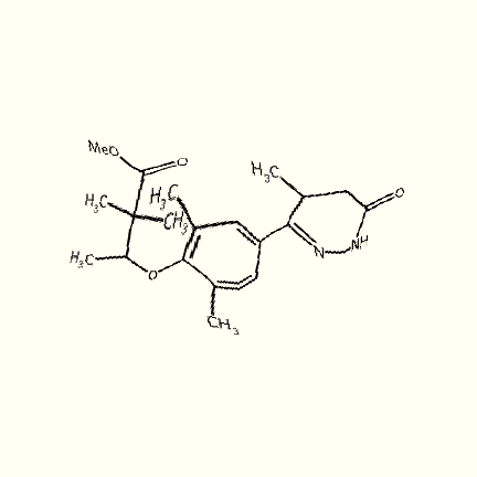 COC(=O)C(C)(C)C(C)Oc1c(C)cc(C2=NNC(=O)CC2C)cc1C